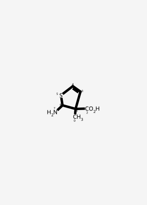 CC1(C(=O)O)C=CSC1N